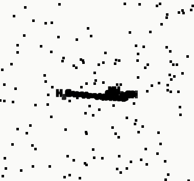 CCCCCCCCCCCCCCCCCCCCN(CCCc1ccc(O)cc1)C(=O)C(N)=O